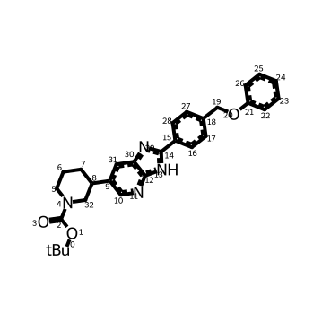 CC(C)(C)OC(=O)N1CCCC(c2cnc3[nH]c(-c4ccc(COc5ccccc5)cc4)nc3c2)C1